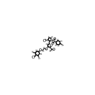 CC(=O)c1oc(-c2c(Cl)ccn2S(=O)(=O)c2ccc(C)cc2)cc1OCCOc1cc(C)c(Cl)c(C)c1